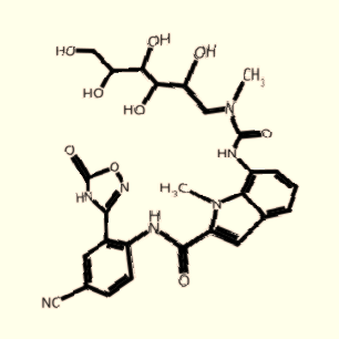 CN(CC(O)C(O)C(O)C(O)CO)C(=O)Nc1cccc2cc(C(=O)Nc3ccc(C#N)cc3-c3noc(=O)[nH]3)n(C)c12